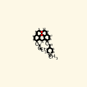 CCOCOc1ccc2ccccc2c1Cc1c(OCC2CCN(C)CC2)ccc2ccccc12